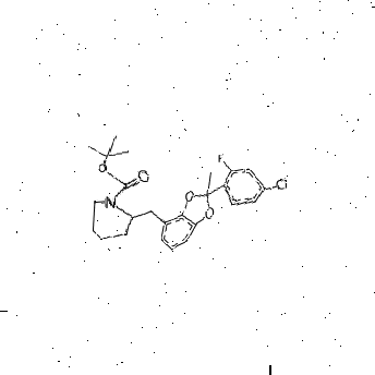 CC(C)(C)OC(=O)N1CCCCC1Cc1cccc2c1OC(C)(c1ccc(Cl)cc1F)O2